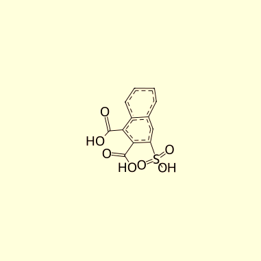 O=C(O)c1c(S(=O)(=O)O)cc2ccccc2c1C(=O)O